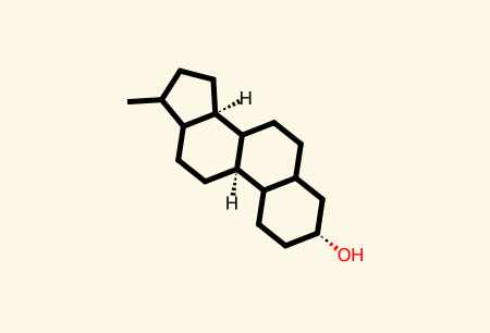 CC1CC[C@@H]2C1CC[C@@H]1C3CC[C@@H](O)CC3CCC21